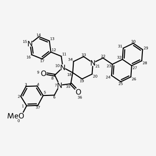 COc1cccc(CN2C(=O)N(Cc3ccncc3)C3(CCN(Cc4cccc5ccccc45)CC3)C2=O)c1